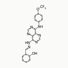 Oc1ccccc1C=NNc1ncnc2c(Nc3ccc(OC(F)(F)F)cc3)ncnc12